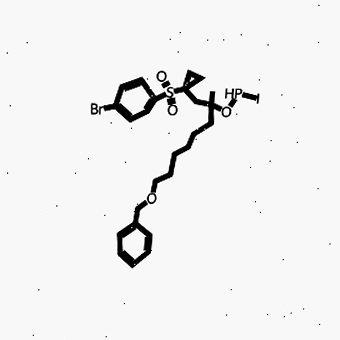 CC(CCCCCCOCc1ccccc1)(CC1(S(=O)(=O)c2ccc(Br)cc2)CC1)OPI